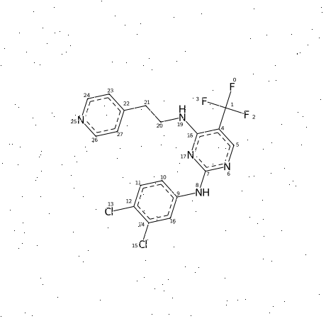 FC(F)(F)c1cnc(Nc2ccc(Cl)c(Cl)c2)nc1NCCc1ccncc1